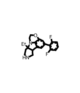 CCC12CCNCC1c1cc(-c3c(F)cccc3F)cc3c1N2CCO3